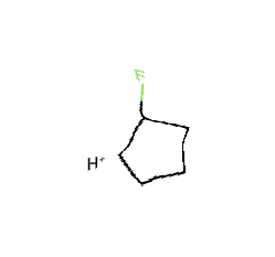 FC1CCCC1.[H+]